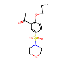 CCCOc1ccc(S(=O)(=O)N2CCOCC2)cc1C(C)=O